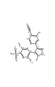 Cc1cc(-c2noc(C)c2-c2cc(F)c(S(C)(=O)=O)cc2F)ccc1C#N